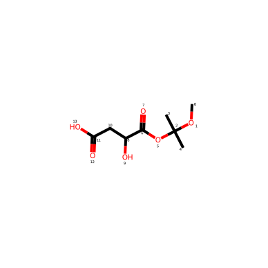 COC(C)(C)OC(=O)C(O)CC(=O)O